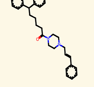 O=C(CCCCC(c1ccccc1)c1ccccc1)N1CCN(CC=Cc2ccccc2)CC1